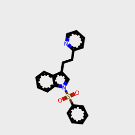 O=S(=O)(c1ccccc1)n1cc(CCc2ccccn2)c2ccccc21